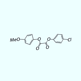 COc1ccc(OC(=O)C(=O)Oc2ccc(Cl)cc2)cc1